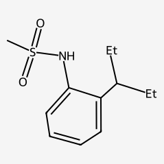 CCC(CC)c1ccccc1NS(C)(=O)=O